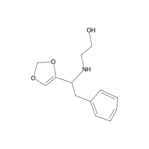 OCCNC(Cc1ccccc1)C1=COCO1